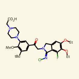 CCOc1cc2c(c(F)c1OCC)/C(=N/Cl)N(CC(=O)c1cc(N3CCN(CC(=O)O)CC3)c(OC)c(C(C)(C)C)c1)C2